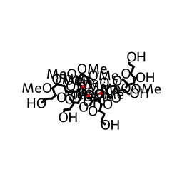 COC1[C@H]([C@@]2(O[C@H]3C(CCO)O[C@@H](OC)C(OC)[C@@H]3OC)OC(CCO)[C@H](O[C@H]3OC(CCO)[C@H](O[C@H]4OC(CCO)[C@H](O[C@H]5OC(CCO)[C@H](O)[C@@H](OC)C5OC)[C@@H](OC)C4OC)[C@@H](OC)C3OC)[C@@H](OC)C2OC)OC(CCO)[C@@H](OC)[C@H]1OC